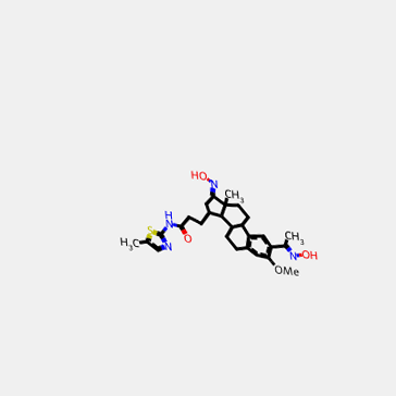 COc1cc2c(cc1/C(C)=N/O)C1CCC3(C)/C(=N/O)CC(CCC(=O)Nc4ncc(C)s4)C3C1CC2